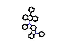 c1ccc(-c2c3ccccc3c(-n3c4ccccc4c4c5c6ccccc6n(-c6ccccc6)c5ccc43)c3ccccc23)cc1